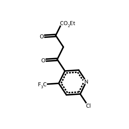 CCOC(=O)C(=O)CC(=O)c1cnc(Cl)cc1C(F)(F)F